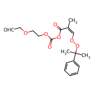 CC(=COOC(C)(C)c1ccccc1)C(=O)OC(=O)OCCOCC=O